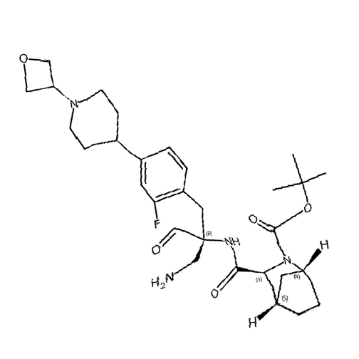 CC(C)(C)OC(=O)N1[C@@H]2CC[C@@H](C2)[C@H]1C(=O)N[C@@](C=O)(CN)Cc1ccc(C2CCN(C3COC3)CC2)cc1F